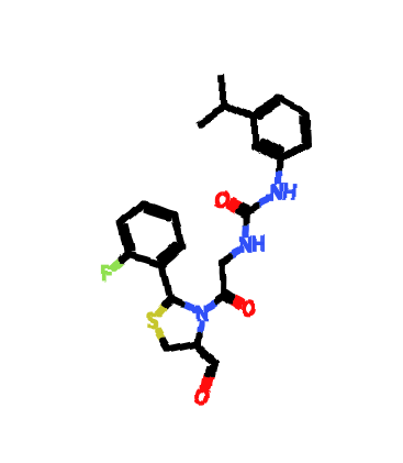 CC(C)c1cccc(NC(=O)NCC(=O)N2C(C=O)CSC2c2ccccc2F)c1